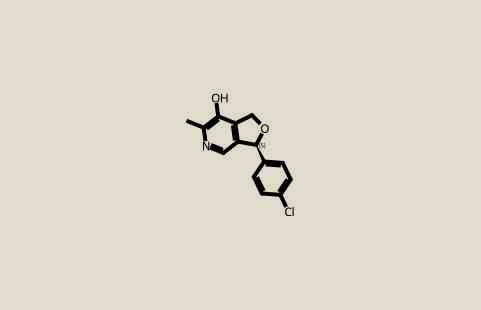 Cc1ncc2c(c1O)CO[C@H]2c1ccc(Cl)cc1